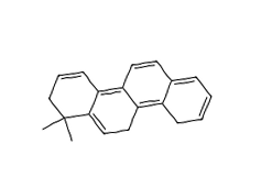 CC1(C)CC=CC2=c3ccc4c(c3CC=C21)CC=CC=4